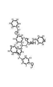 COc1ccc(Cn2cc(C(CC(=O)NCc3ccncc3)c3ccc(OCc4ccccc4)cc3)c3ccccc32)cc1